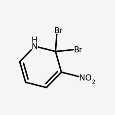 O=[N+]([O-])C1=CC=CNC1(Br)Br